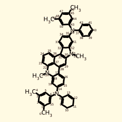 Cc1cc(C)cc(N(C2=CCCC=C2)c2ccc3c(c2)N(C)c2cccc4c2c-3cc2c4c3ccc(N(c4ccccc4)c4cc(C)cc(C)c4)cc3n2C)c1